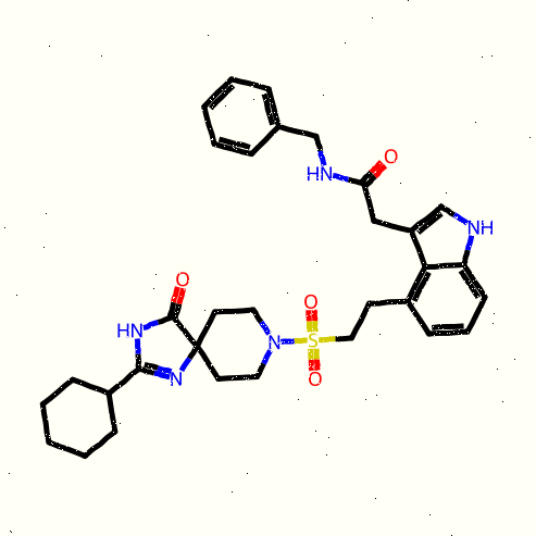 O=C(Cc1c[nH]c2cccc(CCS(=O)(=O)N3CCC4(CC3)N=C(C3CCCCC3)NC4=O)c12)NCc1ccccc1